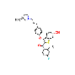 Cc1cc(F)ccc1C(=O)c1sc2cc(O)ccc2c1Oc1ccc(CCCN2CC[C@H](C)C2)cc1